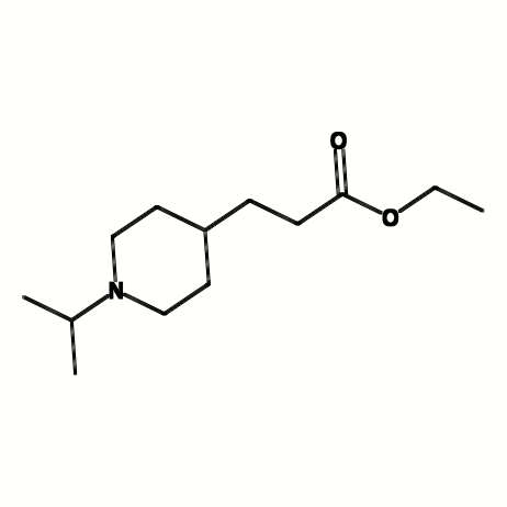 CCOC(=O)CCC1CCN(C(C)C)CC1